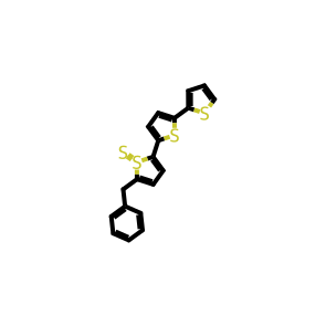 S=S1C(Cc2ccccc2)=CC=C1c1ccc(-c2cccs2)s1